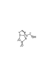 O=C1OC2CC3CC2C1C3CO